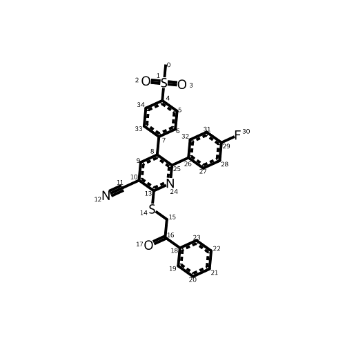 CS(=O)(=O)c1ccc(-c2cc(C#N)c(SCC(=O)c3ccccc3)nc2-c2ccc(F)cc2)cc1